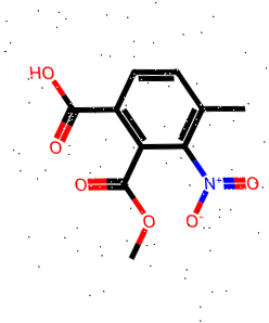 COC(=O)c1c(C(=O)O)ccc(C)c1[N+](=O)[O-]